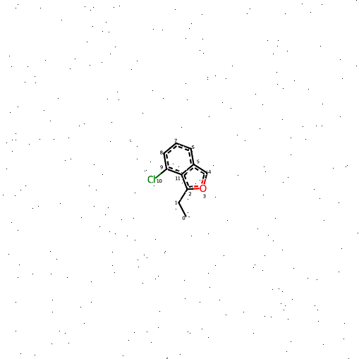 [CH2]Cc1occ2cccc(Cl)c12